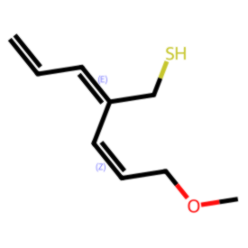 C=C/C=C(\C=C/COC)CS